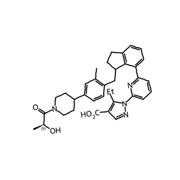 CCc1c(C(=O)O)cnn1-c1cccc(-c2cccc3c2C(Cc2ccc(C4CCN(C(=O)[C@H](C)O)CC4)cc2C)CC3)n1